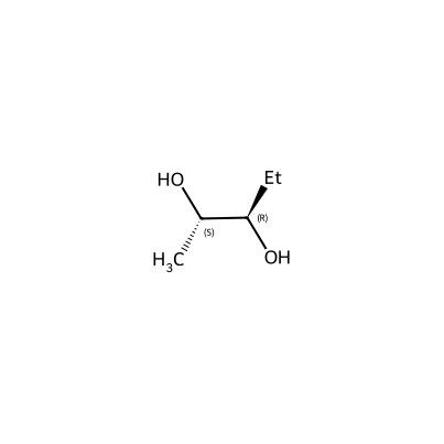 CC[C@@H](O)[C@H](C)O